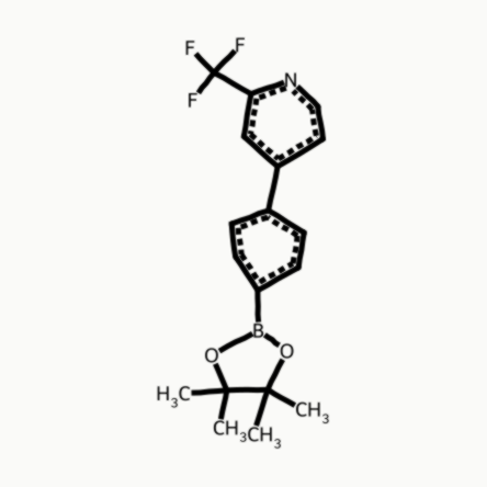 CC1(C)OB(c2ccc(-c3ccnc(C(F)(F)F)c3)cc2)OC1(C)C